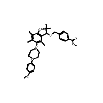 COC(=O)c1ccc(COC2c3c(C)c(N4CCN(c5ccc(OC)cc5)CC4)c(C)c(C)c3OC2(C)C)cc1